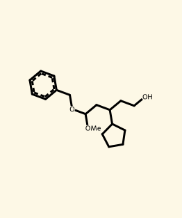 COC(CC(CCO)C1CCCC1)OCc1ccccc1